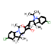 CC(C)N1/C(=C\C2=C([O-])C(=CC3=[N+](C(C)C)c4ccc(Cl)cc4C3(C)C)C2=O)C(C)(C)c2cc(Cl)ccc21